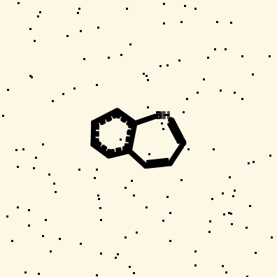 C1=[CH][BiH][c]2ccccc2C=C1